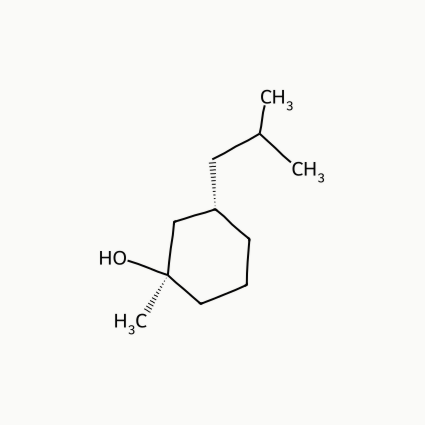 CC(C)C[C@@H]1CCC[C@@](C)(O)C1